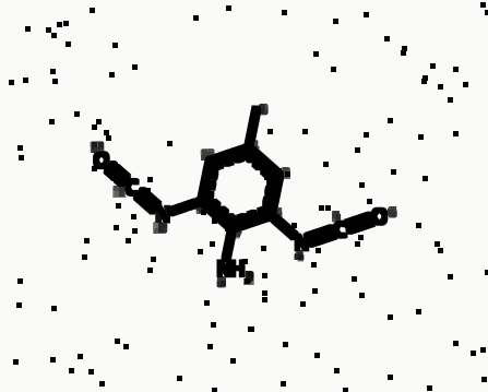 Cc1cc(N=C=O)c(N)c(N=C=O)c1